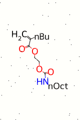 C=C(CCCC)C(=O)OCCOC(=O)NCCCCCCCC